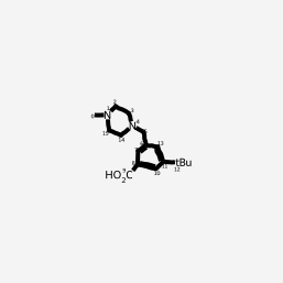 CN1CCN(Cc2cc(C(=O)O)cc(C(C)(C)C)c2)CC1